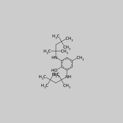 Cc1cc(NC(C)(C)CC(C)(C)C)c(O)c(NC(C)(C)CC(C)(C)C)c1